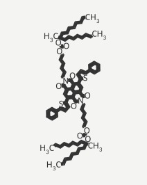 CCCCCCCCC(C)(CCCCCCCC)OC(=O)OCCCCCCN1C(=O)c2cc(-c3ccc(-c4ccccc4)s3)c3c4c(cc(-c5ccc(-c6ccccc6)s5)c(c24)C1=O)C(=O)N(CCCCCCOC(=O)OC(C)(CCCCCCCC)CCCCCCCC)C3=O